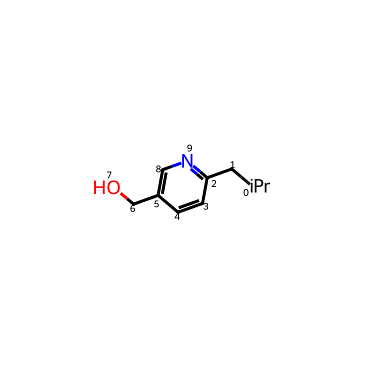 CC(C)Cc1ccc(CO)cn1